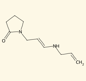 C=CCNC=CCN1CCCC1=O